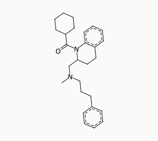 CN(CCCc1ccccc1)CC1CCc2ccccc2N1C(=O)C1CCCCC1